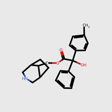 Cc1ccc(C(O)(C(=O)OCC2C3CCC2CNC3)c2ccccc2)cc1